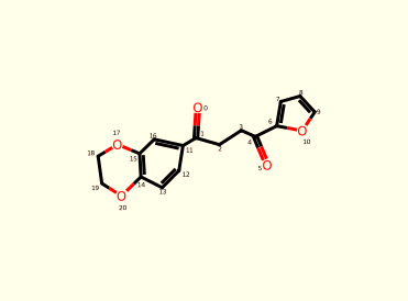 O=C(CCC(=O)c1ccco1)c1ccc2c(c1)OCCO2